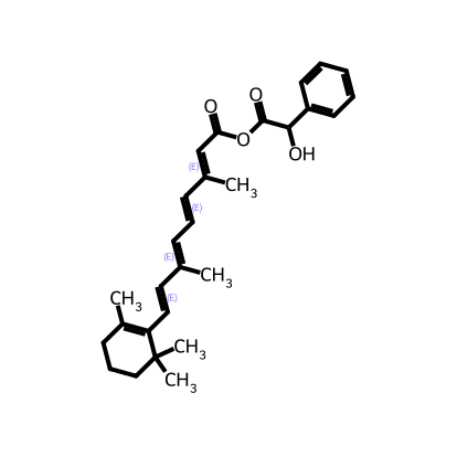 CC1=C(/C=C/C(C)=C/C=C/C(C)=C/C(=O)OC(=O)C(O)c2ccccc2)C(C)(C)CCC1